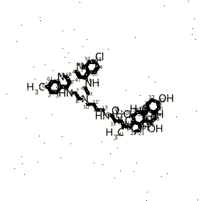 Cc1ccc2c(NCCN(CCCCNC(=O)CC[C@@H](C)[C@H]3CC[C@H]4[C@@H]5[C@H](O)C[C@@H]6C[C@H](O)CC[C@]6(C)[C@H]5C[C@H](O)[C@]34C)CCNc3ccnc4cc(Cl)ccc34)ccnc2c1